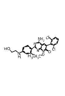 COn1c(=O)c(-c2c(Cl)cccc2Cl)cc2c(N)nc(-c3ccc(NCCO)cc3C)nc21